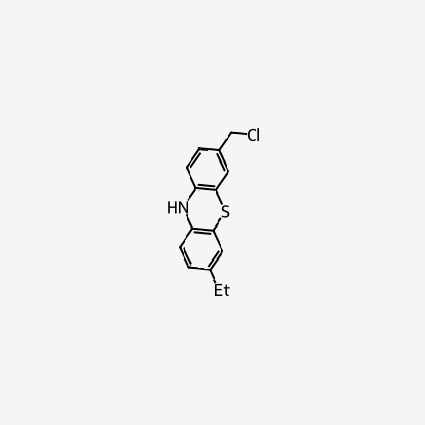 CCc1ccc2c(c1)Sc1cc(CCl)ccc1N2